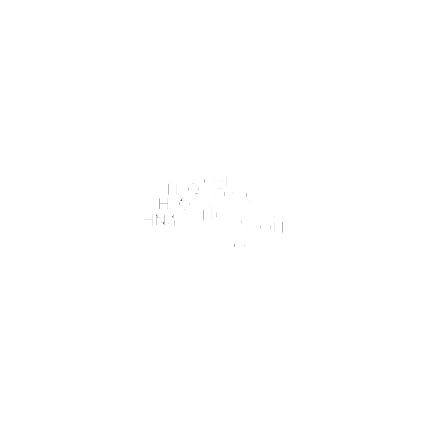 O.O.O.O.O=S(=O)(O)O.[NaH]